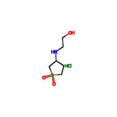 Cl.O=S1(=O)CCC(NCCO)C1